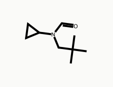 CC(C)(C)CN(C=O)C1CC1